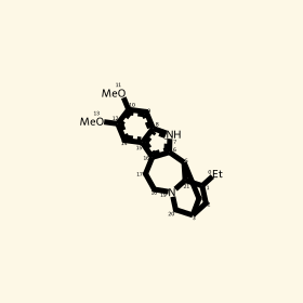 CCC1CC2CC3c4[nH]c5cc(OC)c(OC)cc5c4CCN(C2)C13